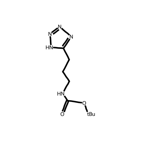 CC(C)(C)OC(=O)NCCCc1nnn[nH]1